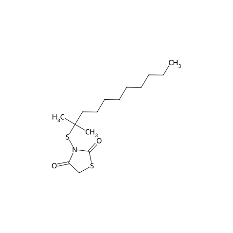 CCCCCCCCCC(C)(C)SN1C(=O)CSC1=O